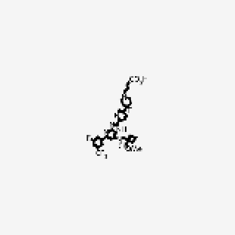 COCC1(CN(C)c2cc(-c3cc(F)cc(C(F)(F)F)c3)nc3nc(-c4ccc(C5(F)CCN(CCCC(=O)O)CC5)cn4)[nH]c23)CCC1